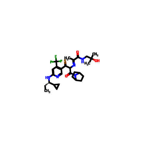 CC[C@H](Nc1cc(C(F)(F)F)c(C(=S)C(/N=C(\C)C(=O)NCC(C)(C)O)C(=O)N2C3CCC2CC3)cn1)C1CC1